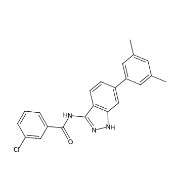 Cc1cc(C)cc(-c2ccc3c(NC(=O)c4cccc(Cl)c4)n[nH]c3c2)c1